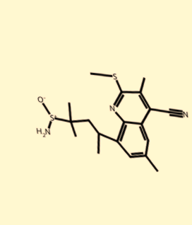 CSc1nc2c(C(C)CC(C)(C)[S+](N)[O-])cc(C)cc2c(C#N)c1C